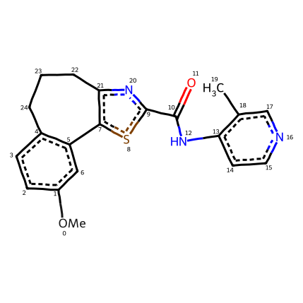 COc1ccc2c(c1)-c1sc(C(=O)Nc3ccncc3C)nc1CCC2